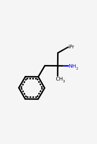 CC(C)CC(C)(N)Cc1ccccc1